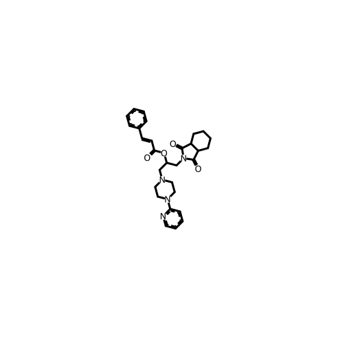 O=C(C=Cc1ccccc1)OC(CN1CCN(c2ccccn2)CC1)CN1C(=O)C2CCCCC2C1=O